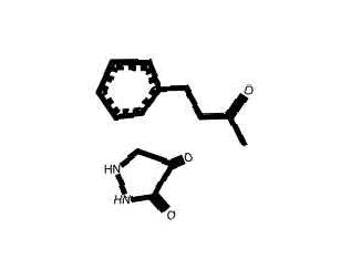 CC(=O)CCc1ccccc1.O=C1CNNC1=O